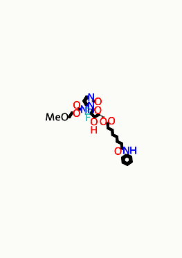 COCCOC(=O)Nc1ccnc(=O)n1[C@@H]1O[C@H](COC(=O)CCCCCCC(=O)Nc2ccccc2)[C@@H](O)C1(F)F